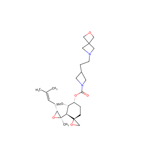 CO[C@@H]1[C@H](OC(=O)N2CC(CCN3CC4(COC4)C3)C2)CC[C@]2(CO2)[C@H]1[C@@]1(C)O[C@@H]1CC=C(C)C